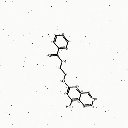 O=C(NCCOc1nc(O)c2ccncc2n1)c1ccccc1